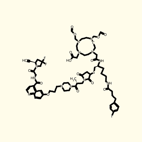 C#C[C@H]1CC(F)(F)CN1C(=O)CNC(=O)c1ccnc2ccc(OCCCN3CCN(C(=O)[C@H](C)CN4C(=O)CC(SC[C@H](CCCCNC(=O)CCCc5ccc(I)cc5)NC(=O)CN5CCN(COC=O)CCN(COC=O)CCN(CC(=O)O)CC5)C4=O)CC3)cc12